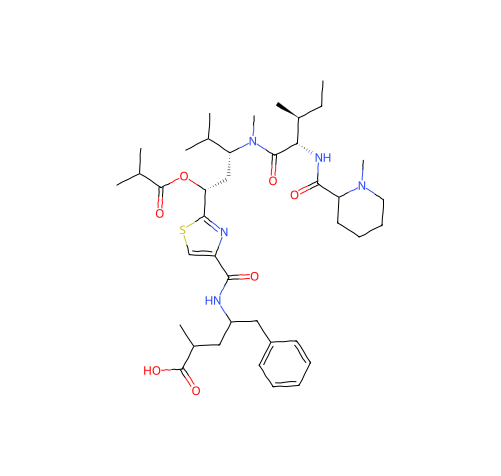 CC[C@H](C)[C@H](NC(=O)C1CCCCN1C)C(=O)N(C)[C@H](C[C@@H](OC(=O)C(C)C)c1nc(C(=O)NC(Cc2ccccc2)CC(C)C(=O)O)cs1)C(C)C